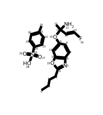 CCCCc1nc2ccc(OC(C)(N)C=CF)cc2o1.Cc1ccc(S(=O)(=O)O)cc1